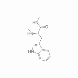 CNC(=O)C(Cc1c[nH]c2ccccc12)NC